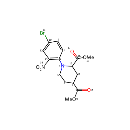 COC(=O)C1CCN(c2ccc(Br)cc2[N+](=O)[O-])C(C(=O)OC)C1